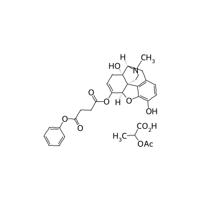 CC(=O)OC(C)C(=O)O.CN1CC[C@]23c4c5ccc(O)c4O[C@H]2C(OC(=O)CCC(=O)Oc2ccccc2)=CC[C@@]3(O)[C@H]1C5